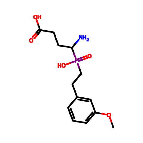 COc1cccc(CCP(=O)(O)C(N)CCC(=O)O)c1